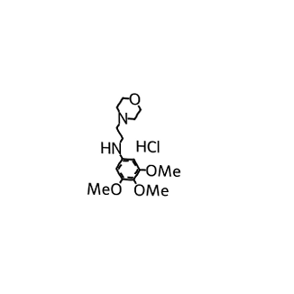 COc1cc(NCCN2CCOCC2)cc(OC)c1OC.Cl